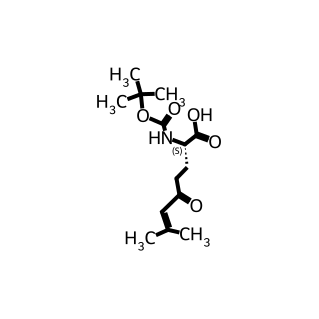 CC(C)=CC(=O)CC[C@H](NC(=O)OC(C)(C)C)C(=O)O